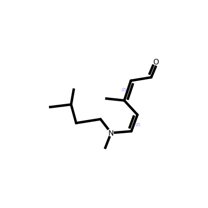 CC(/C=C\N(C)CCC(C)C)=C/C=O